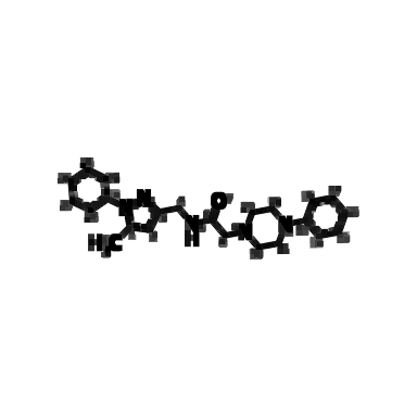 Cc1cc(CNC(=O)CN2CCN(c3ccccc3)CC2)nn1-c1ccccc1